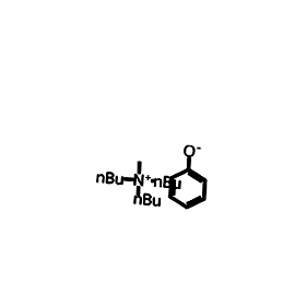 CCCC[N+](C)(CCCC)CCCC.[O-]c1ccccc1